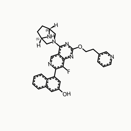 Oc1cc(-c2ncc3c(N4C[C@H]5CC[C@@H](C4)N5)nc(OCCc4cccnc4)nc3c2F)c2ccccc2c1